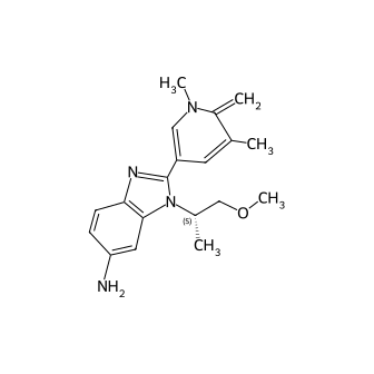 C=C1C(C)=CC(c2nc3ccc(N)cc3n2[C@@H](C)COC)=CN1C